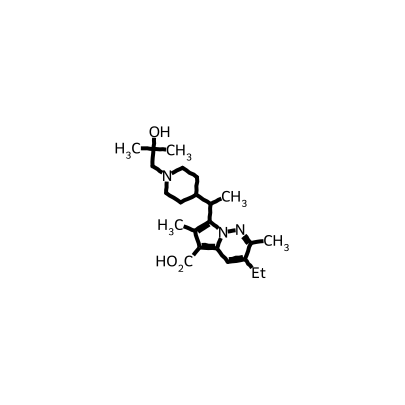 CCc1cc2c(C(=O)O)c(C)c(C(C)C3CCN(CC(C)(C)O)CC3)n2nc1C